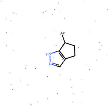 CC(=O)C1CCc2cn[nH]c21